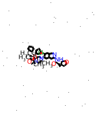 C[C@H]1CN(C2(C)COCC2O[Si](c2ccccc2)(c2ccccc2)C(C)(C)C)CCN1c1cc2cc(NC(=O)C3CC34CCOCC4)ncc2cc1Cl